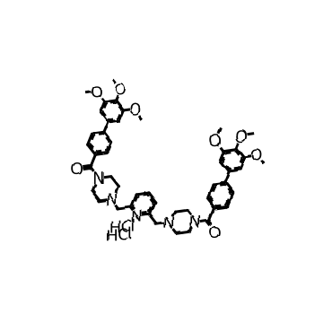 COc1cc(-c2ccc(C(=O)N3CCN(Cc4cccc(CN5CCN(C(=O)c6ccc(-c7cc(OC)c(OC)c(OC)c7)cc6)CC5)n4)CC3)cc2)cc(OC)c1OC.Cl.Cl